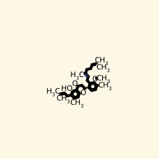 COc1c(C)ccc([C@@H]2CC(=O)c3c(cc(C)c(CC=C(C)C)c3O)O2)c1C/C=C(\C)CCC=C(C)C